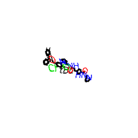 CC(C)(C)c1c(Cl)c(CO[SiH](c2ccccc2)c2ccccc2)cc(-n2cccc2CNC(=O)C=Cc2ccc(C(=O)NCc3ccccn3)cc2)c1Cl